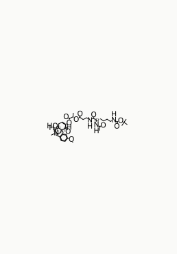 COc1ccc2c3c1O[C@H]1C(OC(=O)C(C)OC(=O)CCNC(=O)[C@H](CCCCNC(=O)OC(C)(C)C)NC(C)=O)=CC[C@@]4(O)[C@@H](C2)N(C)CC[C@]314